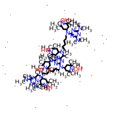 CC(c1nc(N(C)C)nc(N(C)C)n1)N(CCCCCCN(c1nc(C(C)N(CCCCCCN(c2nc(N(C)C)nc(N(C)C)n2)C2CC(C)(C)N(O)C(C)(C)C2)C2CC(C)(C)N(O)C(C)(C)C2)nc(N(C)C2CC(C)(C)N(O)C(C)(C)C2)n1)C1CC(C)(C)N(O)C(C)(C)C1)C1CC(C)(C)N(O)C(C)(C)C1